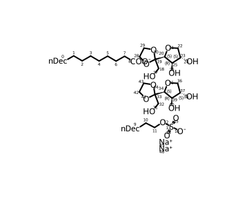 CCCCCCCCCCCCCCCCCC(=O)[O-].CCCCCCCCCCCCOS(=O)(=O)[O-].OCC1([C@H]2OC[C@H](O)[C@H]2O)OCCO1.OCC1([C@H]2OC[C@H](O)[C@H]2O)OCCO1.[Na+].[Na+]